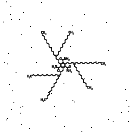 CCCCCCCCCCCCN(CCCCCCCCCCCC)CCCc1c(C(N)=O)c(CCCN(CCCCCCCCCCCC)CCCCCCCCCCCC)c(C(N)=O)c(CCCN(CCCCCCCCCCCC)CCCCCCCCCCCC)c1C(N)=O